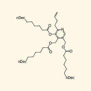 C=CCCc1ncc(COC(=O)CCCCCCCCCCCCCCC)c(COC(=O)CCCCCCCCCCCCCCC)c1OC(=O)CCCCCCCCCCCCCCC